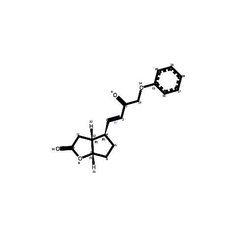 O=C(/C=C/[C@H]1CC[C@@H]2OC(=O)C[C@@H]21)COc1ccccc1